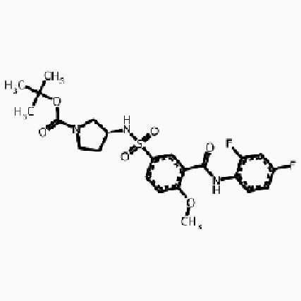 COc1ccc(S(=O)(=O)N[C@H]2CCN(C(=O)OC(C)(C)C)C2)cc1C(=O)Nc1ccc(F)cc1F